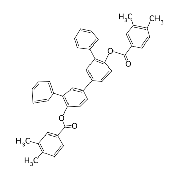 Cc1ccc(C(=O)Oc2ccc(-c3ccc(OC(=O)c4ccc(C)c(C)c4)c(-c4ccccc4)c3)cc2-c2ccccc2)cc1C